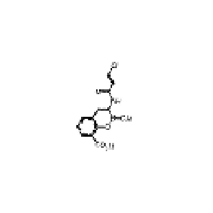 O=C(C=CCl)NC1Cc2cccc(C(=O)O)c2OB1O